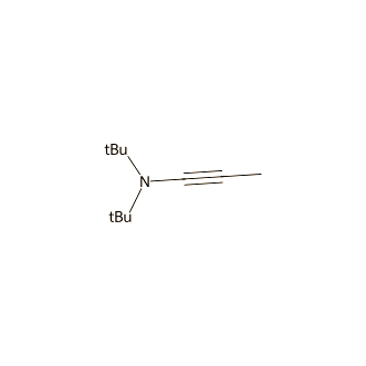 CC#CN(C(C)(C)C)C(C)(C)C